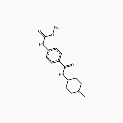 CN1CCC(NC(=O)c2ccc(NC(=O)OC(C)(C)C)cc2)CC1